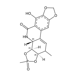 CC1C=C2c3cc4c(c(O)c3C(=O)N[C@H]2[C@@H]2OP(C)(=O)O[C@H]12)OCO4